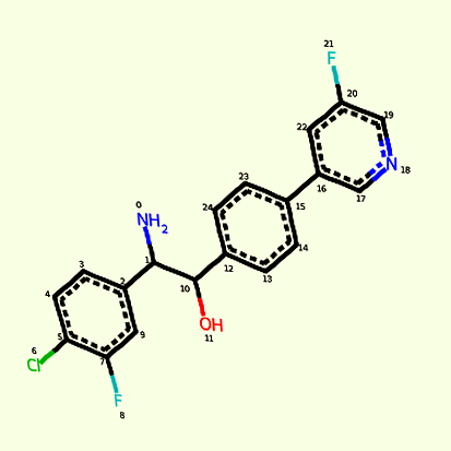 NC(c1ccc(Cl)c(F)c1)C(O)c1ccc(-c2cncc(F)c2)cc1